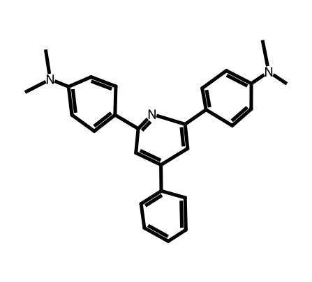 CN(C)c1ccc(-c2cc(-c3ccccc3)cc(-c3ccc(N(C)C)cc3)n2)cc1